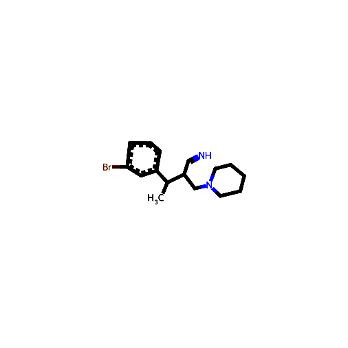 CC(c1cccc(Br)c1)C(C=N)CN1CCCCC1